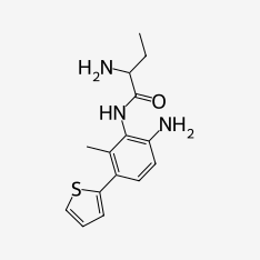 CCC(N)C(=O)Nc1c(N)ccc(-c2cccs2)c1C